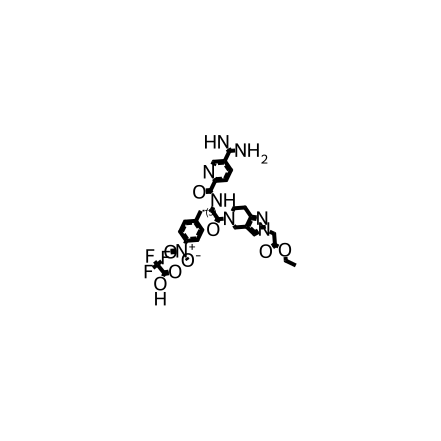 CCOC(=O)Cn1cc2c(n1)CCN(C(=O)[C@H](Cc1ccc([N+](=O)[O-])cc1)NC(=O)c1ccc(C(=N)N)cn1)C2.O=C(O)C(F)(F)F